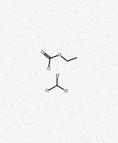 CCOC(=O)Cl.ClC(Cl)Cl